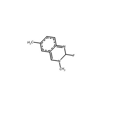 Cc1ccc2c(c1)=CN(C)C(F)N=2